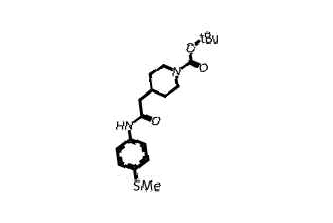 CSc1ccc(NC(=O)CC2CCN(C(=O)OC(C)(C)C)CC2)cc1